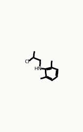 Cc1cccc(C)c1NCC(C)Cl